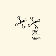 O=P([O-])([O-])[O-].O=P([O-])([O-])[O-].[Cr+3].[Mn+2].[Na+]